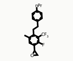 CCCc1ccc(CCc2c(C)cc(C3CO3)c(F)c2C(F)(F)F)cc1